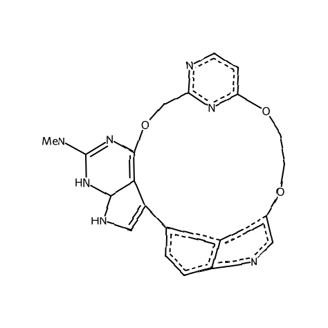 CNC1=NC2=C3C(=CNC3N1)c1ccc3ncc(cc3c1)OCCOc1ccnc(n1)CO2